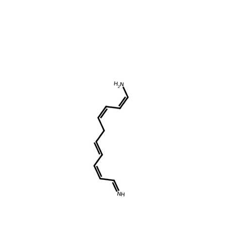 N=C/C=C\C=C\C/C=C\C=C/N